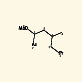 COC(CC(C)CC(C)C)C(C)=O